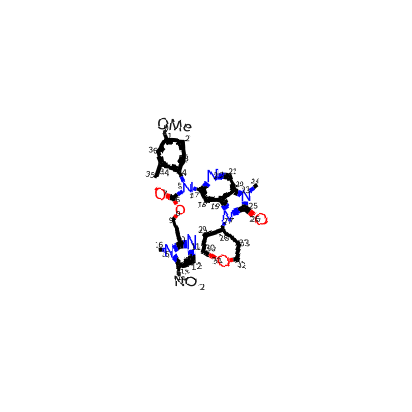 COc1ccc(N(C(=O)OCc2ncc([N+](=O)[O-])n2C)c2cc3c(cn2)n(C)c(=O)n3C2CCOCC2)c(C)c1